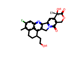 CC[C@@]1(O)C(=O)OCc2c1cc1n(c2=O)Cc2c-1nc1cc(F)c(C)c3c1c2C(CCO)CC3